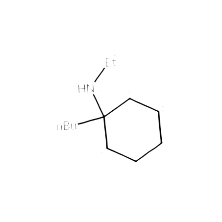 CCCCC1(NCC)CCCCC1